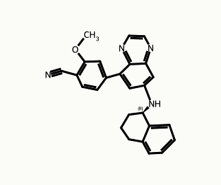 COc1cc(-c2cc(N[C@@H]3CCCc4ccccc43)cc3nccnc23)ccc1C#N